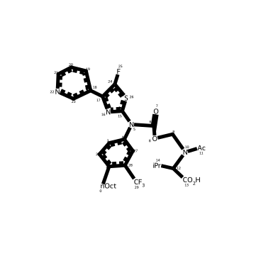 CCCCCCCCc1ccc(N(C(=O)OCN(C(C)=O)C(C(=O)O)C(C)C)c2nc(-c3cccnc3)c(F)s2)cc1C(F)(F)F